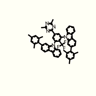 Cc1cc(C)c(-c2ccc3c4ccccc4n(-c4cc(-c5nc(C)nc(C)n5)cc(-n5c6ccccc6c6ccc(-c7c(C)cc(C)cc7C)cc65)c4C(F)(F)F)c3c2)c(C)c1